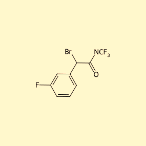 O=C(NC(F)(F)F)C(Br)c1cccc(F)c1